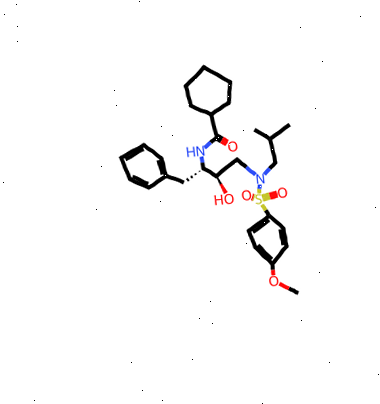 COc1ccc(S(=O)(=O)N(CC(C)C)C[C@@H](O)[C@H](Cc2ccccc2)NC(=O)C2CCCCC2)cc1